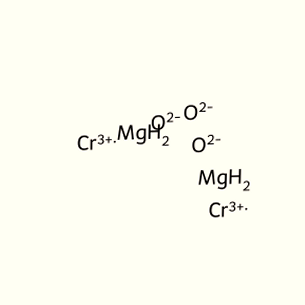 [Cr+3].[Cr+3].[MgH2].[MgH2].[O-2].[O-2].[O-2]